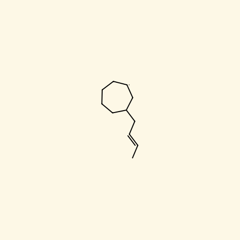 CC=CCC1C[CH]CCCC1